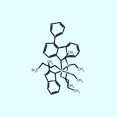 CCC[CH2][Ti]1([CH2]CCC)([CH]2C(C)=Cc3ccccc32)([CH]2c3ccccc3-c3c(-c4ccccc4)cccc32)[Si](CC)(CC)[Si]1(CC)CC